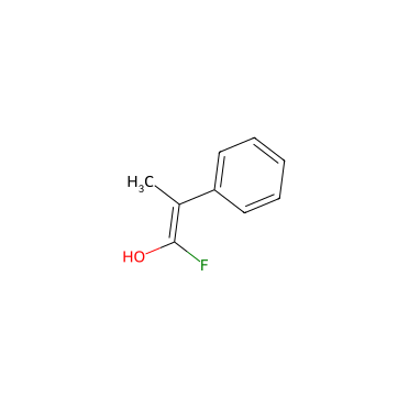 CC(=C(O)F)c1ccccc1